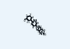 Cc1cccc(-c2ccc(N3CC4CN(C)CC4C3)cn2)c1